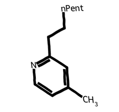 CCCCCCCc1cc(C)ccn1